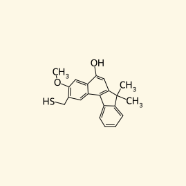 COc1cc2c(O)cc3c(c2cc1CS)-c1ccccc1C3(C)C